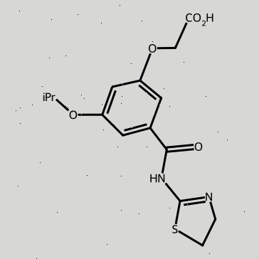 CC(C)Oc1cc(OCC(=O)O)cc(C(=O)NC2=NCCS2)c1